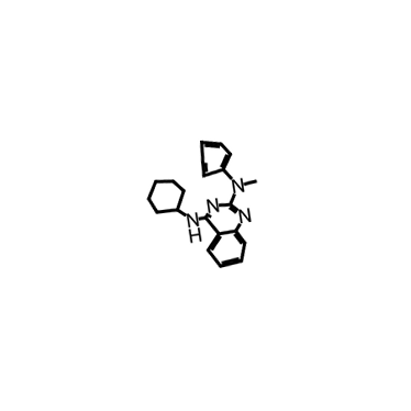 CN(c1ccccc1)c1nc(NC2CCCCC2)c2ccccc2n1